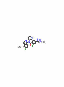 COc1c(F)ccc2c(N(C(=O)c3ccc(-c4cn(C)nn4)cc3F)[C@@H]3CCCNC3)nccc12